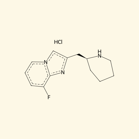 Cl.Fc1cccn2cc(C[C@@H]3CCCCN3)nc12